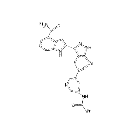 CC(C)C(=O)Nc1cncc(-c2cnc3[nH]nc(-c4cc5c(C(N)=O)cccc5[nH]4)c3c2)c1